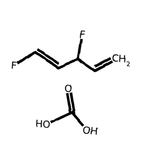 C=CC(F)C=CF.O=C(O)O